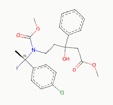 COC(=O)CC(O)(CCN(C(=O)OC)[C@@](C)(I)c1ccc(Cl)cc1)c1ccccc1